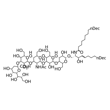 CCCCCCCCCCCCC/C=C/[C@@H](O)[C@H](CO[C@@H]1OC(CO)[C@@H](O[C@@H]2OC(CO)[C@H](O)[C@H](O[C@@H]3OC(CO)[C@@H](O)[C@H](O[C@@H]4OC(CO)[C@H](O)[C@H](O[C@]5(C(=O)O)CC(O)[C@@H](O)C([C@H](O)[C@H](O)CO)O5)C4O)C3NC(C)=O)C2O)[C@H](O)C1O)NC(=O)CCCCCCCCCCCCCCCCC